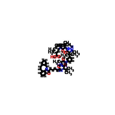 CNC(C(=O)N[C@H](C(=O)N(C)[C@H](/C=C(\C)C(=O)O)C(C)C)C(C)(C)C)C(C)(C)c1cccc(NC(=O)[C@H](C)NC(=O)[C@@H](NC(=O)CCCCC(=O)N2Cc3ccccc3/C=C\c3ccccc32)C(C)C)c1